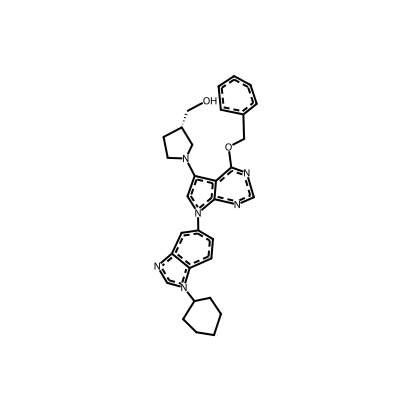 OC[C@H]1CCN(c2cn(-c3ccc4c(c3)ncn4C3CCCCC3)c3ncnc(OCc4ccccc4)c23)C1